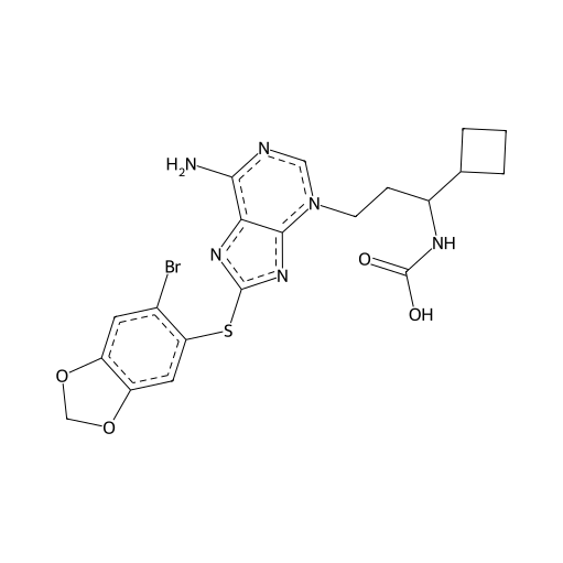 Nc1ncn(CCC(NC(=O)O)C2CCC2)c2nc(Sc3cc4c(cc3Br)OCO4)nc1-2